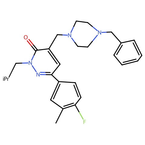 Cc1cc(-c2cc(CN3CCN(Cc4ccccc4)CC3)c(=O)n(CC(C)C)n2)ccc1F